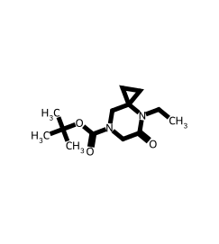 CCN1C(=O)CN(C(=O)OC(C)(C)C)CC12CC2